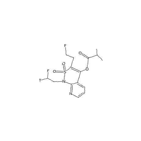 CC(C)C(=O)OC1=C(CCF)S(=O)(=O)N(CC(F)F)c2ncccc21